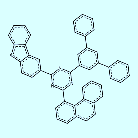 c1ccc(-c2cc(-c3ccccc3)cc(-c3nc(-c4ccc5sc6ccccc6c5c4)nc(-c4cccc5ccc6ccccc6c45)n3)c2)cc1